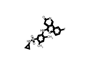 Cc1cc(C)c(S(=O)(=O)NC2CC2)cc1Nc1nc2ccc(F)cc2c2c1=CC(=O)[N]C=2